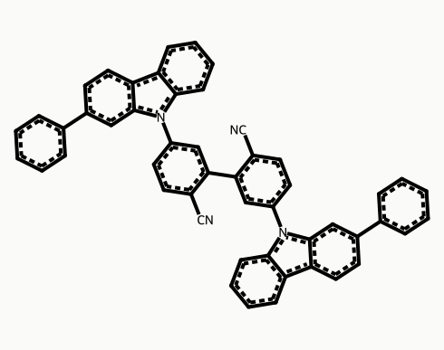 N#Cc1ccc(-n2c3ccccc3c3ccc(-c4ccccc4)cc32)cc1-c1cc(-n2c3ccccc3c3ccc(-c4ccccc4)cc32)ccc1C#N